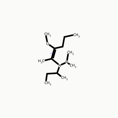 CCC/C(OC)=C(/C)N(C(C)CC)N(C)C